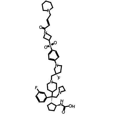 O=C(O)N[C@H]1CCC[C@@H]1C(CN1CCC1)(c1cccc(F)c1)C1CCN(C[C@]2(F)CCN(c3ccc(S(=O)(=O)C4CN(C(=O)/C=C/CN5CCCCC5)C4)cc3)C2)CC1